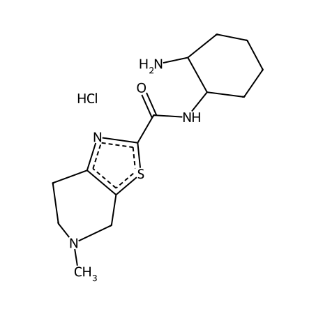 CN1CCc2nc(C(=O)NC3CCCCC3N)sc2C1.Cl